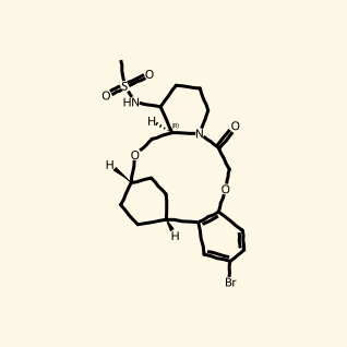 CS(=O)(=O)NC1CCCN2C(=O)COc3ccc(Br)cc3[C@H]3CC[C@H](CC3)OC[C@@H]12